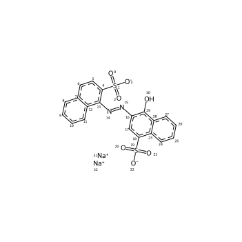 O=S(=O)([O-])c1ccc2ccccc2c1N=Nc1cc(S(=O)(=O)[O-])c2ccccc2c1O.[Na+].[Na+]